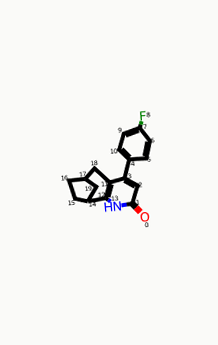 O=c1cc(-c2ccc(F)cc2)c2c([nH]1)C1CCC(C2)C1